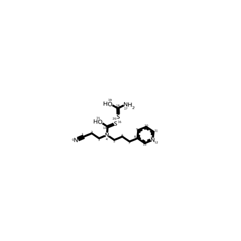 N#CCCN(CCCc1cccnc1)C(O)=S.NC(O)=S